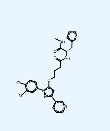 CNC(=O)[C@H](Cc1cccs1)NC(=O)CCCOc1cc(-c2cccnc2)nn1-c1ccc(Cl)c(Cl)c1